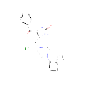 Cc1ccccc1N1CCN(Cc2[nH]c(=O)[nH]c2C(=O)c2ccccc2)CC1.Cl